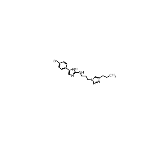 CCCc1cn(CCCNc2ncc(-c3ccc(Br)cc3)[nH]2)nn1